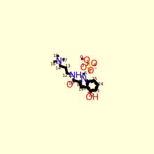 COS(=O)(=O)[O-].Cn1c(C(=O)NCCC[N+](C)(C)C)cc2c(O)cccc21